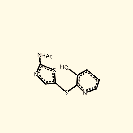 CC(=O)Nc1ncc(Sc2ncccc2O)s1